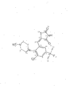 CN1CCN(c2c(Cl)cc(C(F)(F)F)cc2/C=C2/SC(=O)NC2=O)CC1